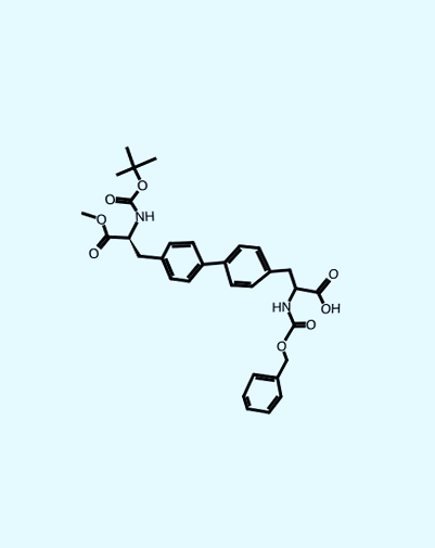 COC(=O)[C@H](Cc1ccc(-c2ccc(CC(NC(=O)OCc3ccccc3)C(=O)O)cc2)cc1)NC(=O)OC(C)(C)C